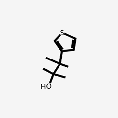 CC(C)(O)C(C)(C)c1ccsc1